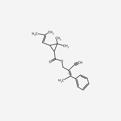 C#C/C(COC(=O)C1C(C=C(C)C)C1(C)C)=C(/C)c1ccccc1